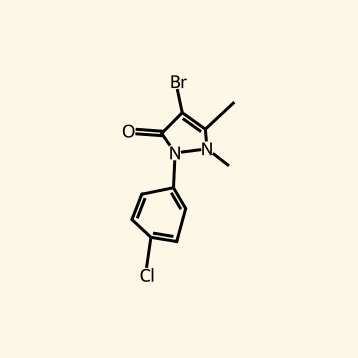 Cc1c(Br)c(=O)n(-c2ccc(Cl)cc2)n1C